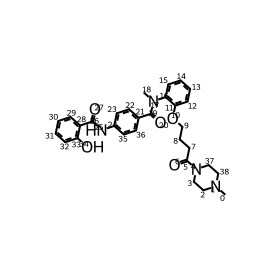 CN1CCN(C(=O)CCCOc2ccccc2N(C)C(=O)c2ccc(NC(=O)c3ccccc3O)cc2)CC1